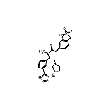 CN(C(=O)Cc1ccc2c(c1)NS(=O)(=O)C2)[C@H](CN1CC[C@H](O)C1)c1cccc(-c2nnn[nH]2)c1